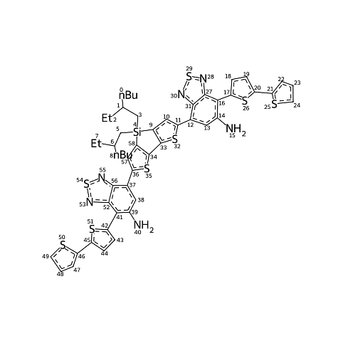 CCCCC(CC)C[Si]1(CC(CC)CCCC)c2cc(-c3cc(N)c(-c4ccc(-c5cccs5)s4)c4nsnc34)sc2-c2sc(-c3cc(N)c(-c4ccc(-c5cccs5)s4)c4nsnc34)cc21